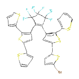 FC1(F)C(c2cc(-c3cccs3)sc2-c2cccs2)=C(c2cc(-c3ccc(Br)s3)sc2-c2cccs2)C(F)(F)C1(F)F